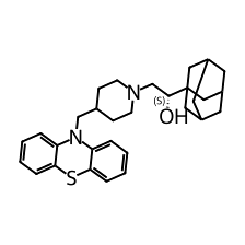 O[C@H](CN1CCC(CN2c3ccccc3Sc3ccccc32)CC1)C12CC3CC(CC(C3)C1)C2